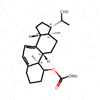 COC(=O)OC1CCCC2=CC=C3[C@@H]4CC[C@H](C(C)C=O)[C@@]4(C)CC[C@@H]3[C@]21C